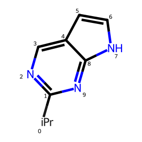 CC(C)c1ncc2cc[nH]c2n1